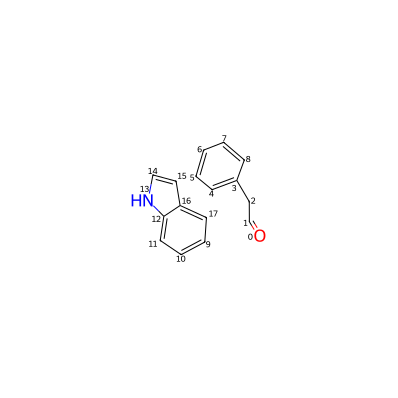 O=CCc1ccccc1.c1ccc2[nH]ccc2c1